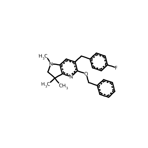 CN1CC(C)(C)c2nc(OCc3ccccc3)c(Cc3ccc(F)cc3)cc21